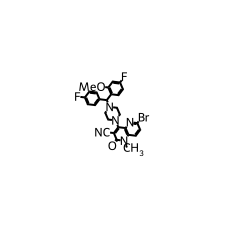 COc1cc(F)ccc1C(c1ccc(F)cc1)N1CCN(c2c(C#N)c(=O)n(C)c3ccc(Br)nc23)CC1